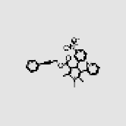 CC1=C(C(=O)OCC#Cc2ccccc2)C(c2cccc([N+](=O)[O-])c2)C(c2ccccn2)=C(C)N1